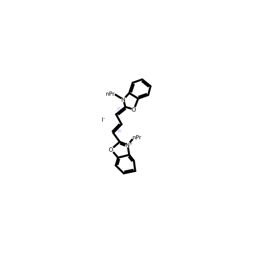 CCCN1/C(=C/C=C/c2oc3ccccc3[n+]2CCC)Oc2ccccc21.[I-]